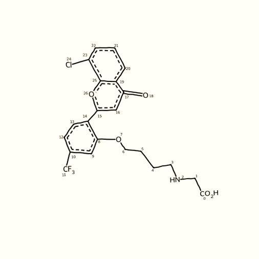 O=C(O)CNCCCCOc1cc(C(F)(F)F)ccc1-c1cc(=O)c2cccc(Cl)c2o1